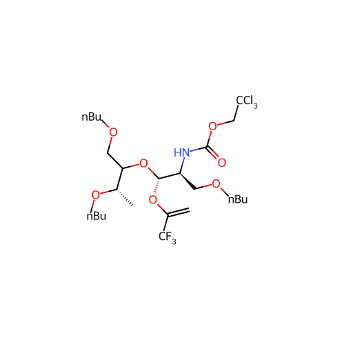 C=C(O[C@H](OC(COCCCC)[C@H](C)OCCCC)[C@H](COCCCC)NC(=O)OCC(Cl)(Cl)Cl)C(F)(F)F